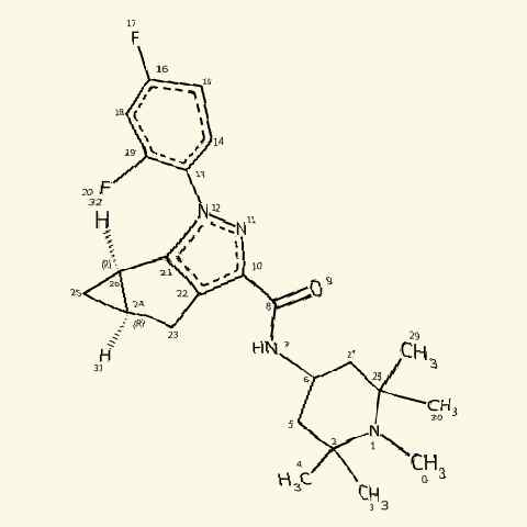 CN1C(C)(C)CC(NC(=O)c2nn(-c3ccc(F)cc3F)c3c2C[C@H]2C[C@@H]32)CC1(C)C